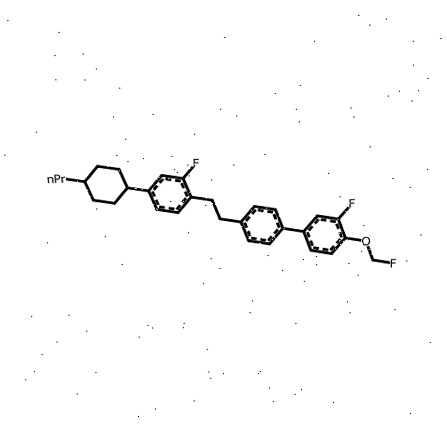 CCCC1CCC(c2ccc(CCc3ccc(-c4ccc(OCF)c(F)c4)cc3)c(F)c2)CC1